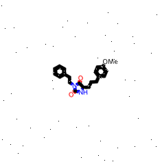 COc1ccc(CCCC2NC(=O)N(CCc3ccccc3)C2=O)cc1